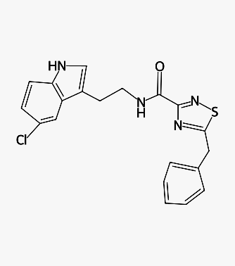 O=C(NCCc1c[nH]c2ccc(Cl)cc12)c1nsc(Cc2ccccc2)n1